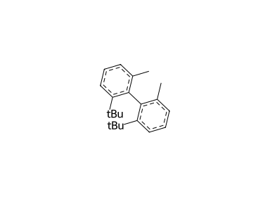 Cc1cccc(C(C)(C)C)c1-c1c(C)cccc1C(C)(C)C